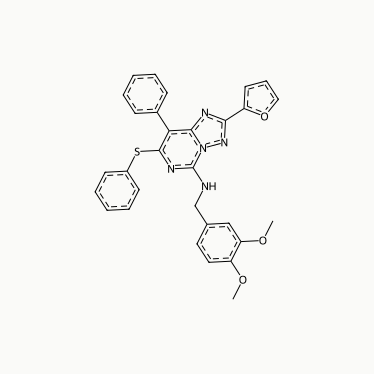 COc1ccc(CNc2nc(Sc3ccccc3)c(-c3ccccc3)c3nc(-c4ccco4)nn23)cc1OC